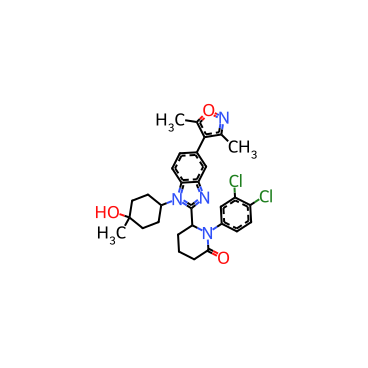 Cc1noc(C)c1-c1ccc2c(c1)nc(C1CCCC(=O)N1c1ccc(Cl)c(Cl)c1)n2C1CCC(C)(O)CC1